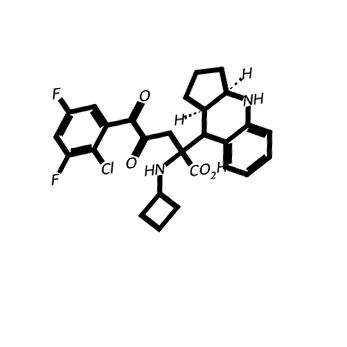 O=C(CC(NC1CCC1)(C(=O)O)C1c2ccccc2N[C@@H]2CCC[C@H]12)C(=O)c1cc(F)cc(F)c1Cl